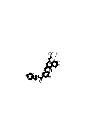 O=C(O)CCCCc1cc2cc(C(=O)NCc3cccnc3)ccc2nc1-c1ccccc1